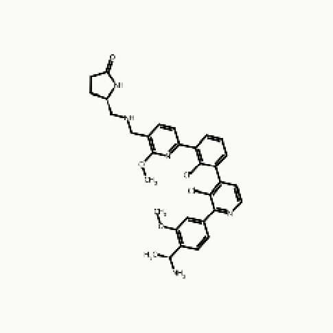 COc1cc(-c2nccc(-c3cccc(-c4ccc(CNC[C@H]5CCC(=O)N5)c(OC)n4)c3Cl)c2Cl)ccc1[C@H](C)N